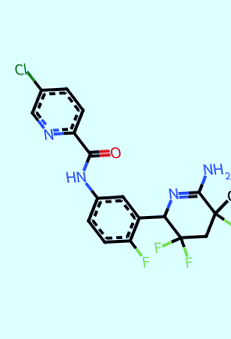 CC1(F)CC(F)(F)C(c2cc(NC(=O)c3ccc(Cl)cn3)ccc2F)N=C1N